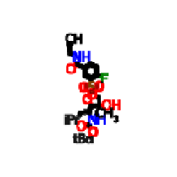 C#CCNC(=O)c1ccc(F)c(S(=O)(=O)OCC(C)(O)C(=O)[C@H](CC(C)C)NC(=O)OC(C)(C)C)c1